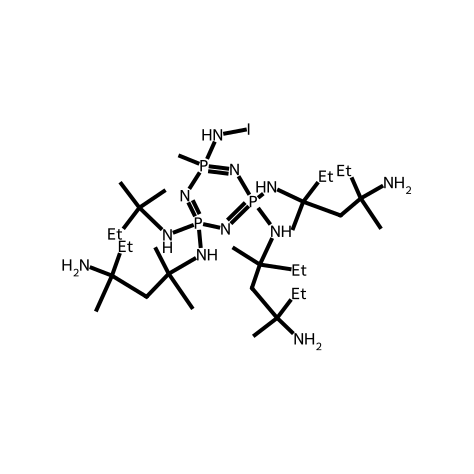 CCC(C)(N)CC(C)(C)NP1(NC(C)(C)CC)=NP(C)(NI)=NP(NC(C)(CC)CC(C)(N)CC)(NC(C)(CC)CC(C)(N)CC)=N1